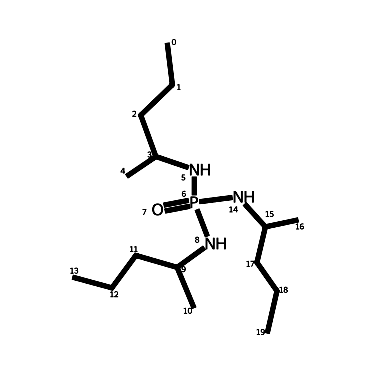 CCCC(C)NP(=O)(NC(C)CCC)NC(C)CCC